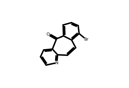 O=c1c2cccnc2ccc2c(Br)cccc12